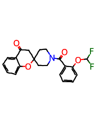 O=C1CC2(CCN(C(=O)c3ccccc3OC(F)F)CC2)Oc2ccccc21